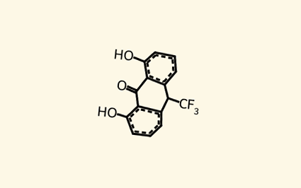 O=C1c2c(O)cccc2C(C(F)(F)F)c2cccc(O)c21